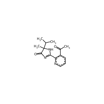 CC(=O)c1cccnc1C1=NC(=O)C(C)(C(C)C)N1